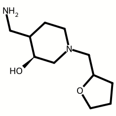 NCC1CCN(CC2CCCO2)C[C@H]1O